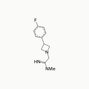 CNC(=N)CN1CC(c2ccc(F)cc2)C1